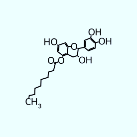 CCCCCCCCCC(=O)Oc1cc(O)cc2c1CC(O)C(c1ccc(O)c(O)c1)O2